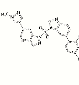 Cn1cc(-c2cnc3cnn(S(=O)(=O)c4cnc5ccc(-c6ccc(F)cc6F)cn45)c3c2)cn1